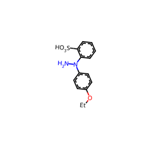 CCOc1ccc(N(N)c2ccccc2S(=O)(=O)O)cc1